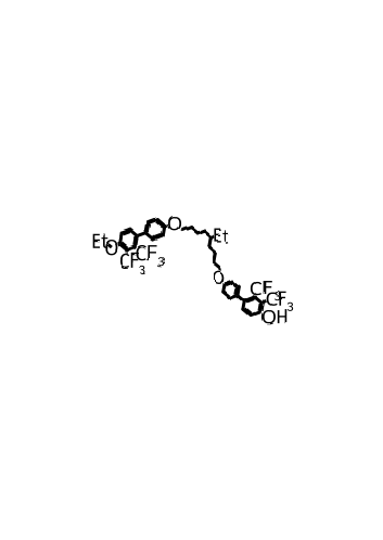 CCOc1ccc(-c2ccc(OCCCCC(CC)CCCCOc3ccc(-c4ccc(O)c(C(F)(F)F)c4C(F)(F)F)cc3)cc2)c(C(F)(F)F)c1C(F)(F)F